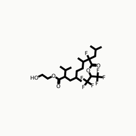 CC(C)CC(F)(C(=O)OC(C(F)(F)F)C(F)(F)F)C(C)CCC(C)CC(C(=O)OCCO)C(C)C